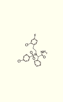 NC(=O)C(c1ccccc1)N(CCc1ccc(F)cc1Cl)S(=O)(=O)c1ccc(Cl)cc1